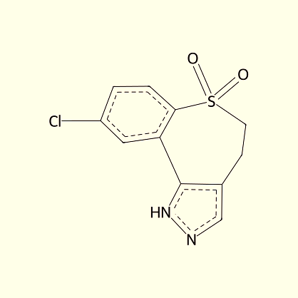 O=S1(=O)CCc2cn[nH]c2-c2cc(Cl)ccc21